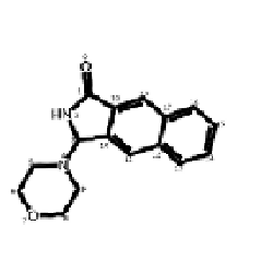 O=C1NC(N2CCOCC2)c2cc3ccccc3cc21